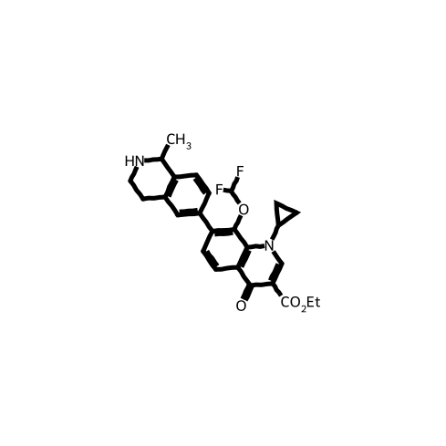 CCOC(=O)c1cn(C2CC2)c2c(OC(F)F)c(-c3ccc4c(c3)CCNC4C)ccc2c1=O